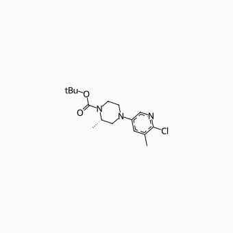 Cc1cc(N2CCN(C(=O)OC(C)(C)C)[C@@H](C)C2)cnc1Cl